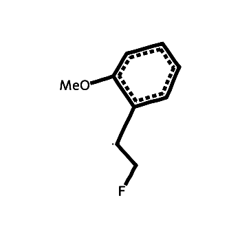 COc1ccccc1[CH]CF